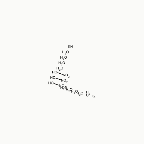 O.O.O.O.O.O.O.O.O.O=[N+]([O-])O.O=[N+]([O-])O.O=[N+]([O-])O.[Fe].[KH]